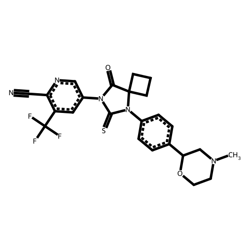 CN1CCOC(c2ccc(N3C(=S)N(c4cnc(C#N)c(C(F)(F)F)c4)C(=O)C34CCC4)cc2)C1